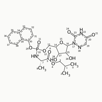 CC(C)COC(=O)[C@H](C)NP(=O)(OCC1OC(n2ncc(=O)[nH]c2=O)C(O)C1O)Oc1cccc2ccccc12